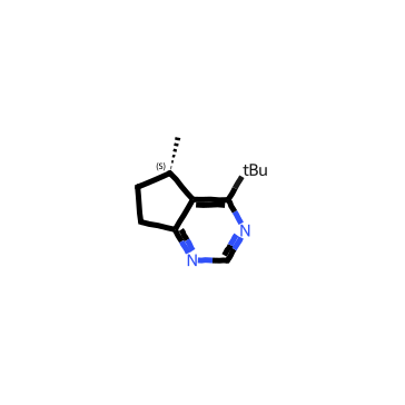 C[C@H]1CCc2ncnc(C(C)(C)C)c21